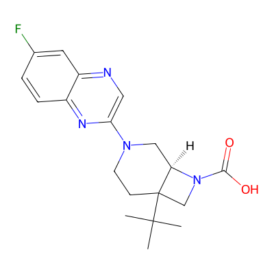 CC(C)(C)C12CCN(c3cnc4cc(F)ccc4n3)C[C@H]1N(C(=O)O)C2